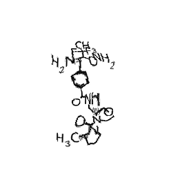 C[C@@H]1CCCN1C(=O)N1CCOC[C@@H]1CNC(=O)c1ccc([C@H](N)C(ON)C(C)(F)F)cc1